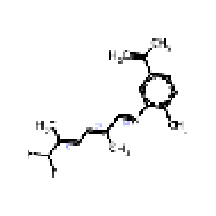 C=C(C)c1ccc(C)c(/N=C/C(C)=C/C=C(\C)C(F)F)c1